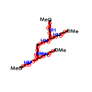 COCCOCCOCC(=O)NCCOCCOCC(COCCOCCNC(=O)COCCOCCOC)OCC(=O)NCCOCCOCC(C)COCCOCCNC(=O)COC(COCCOCCNC(=O)COCCOCCOC)COCCOCCNC(=O)COCCOCCOC